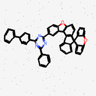 c1ccc(-c2ccc(-c3nc(-c4ccccc4)nc(-c4ccc5oc6ccc7c(c6c5c4)-c4ccccc4C74c5ccccc5Oc5ccccc54)n3)cc2)cc1